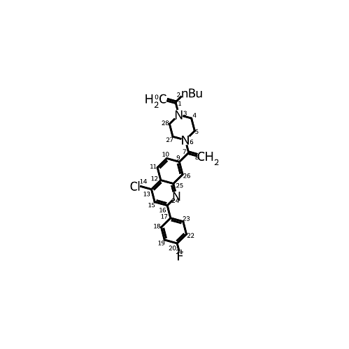 C=C(CCCC)N1CCN(C(=C)c2ccc3c(Cl)cc(-c4ccc(F)cc4)nc3c2)CC1